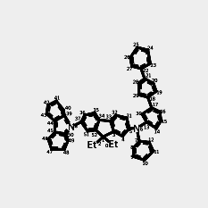 CCC1(CC)c2cc(N(c3ccccc3)c3cccc(-c4ccc(-c5ccccc5)cc4)c3)ccc2-c2ccc(-n3c4ccccc4c4ccccc43)cc21